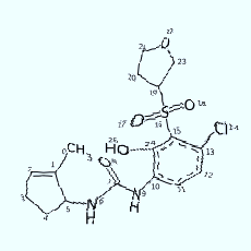 CC1=CCCC1NC(=O)Nc1ccc(Cl)c(S(=O)(=O)C2CCOC2)c1O